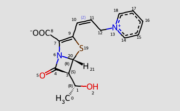 C[C@@H](O)[C@H]1C(=O)N2C(C(=O)[O-])=C(/C=C\C[n+]3ccccc3)S[C@H]12